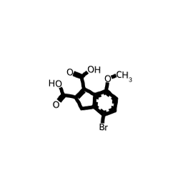 COc1ccc(Br)c2c1C(C(=O)O)=C(C(=O)O)C2